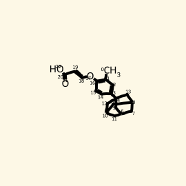 Cc1cc(C23CC4CC(CC(C4)C2)C3)ccc1O/C=C/C(=O)O